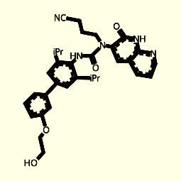 CC(C)c1cc(-c2cccc(OCCO)c2)cc(C(C)C)c1NC(=O)N(CCCC#N)c1cc2cccnc2[nH]c1=O